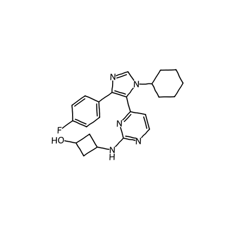 OC1CC(Nc2nccc(-c3c(-c4ccc(F)cc4)ncn3C3CCCCC3)n2)C1